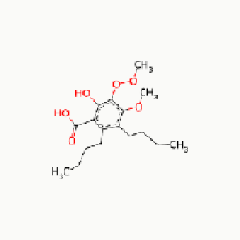 CCCCc1c(CCCC)c(C(=O)O)c(O)c(OOC)c1OC